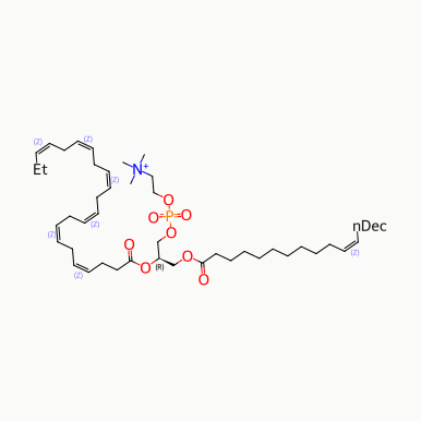 CC/C=C\C/C=C\C/C=C\C/C=C\C/C=C\C/C=C\CCC(=O)O[C@H](COC(=O)CCCCCCCCC/C=C\CCCCCCCCCC)COP(=O)([O-])OCC[N+](C)(C)C